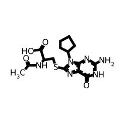 CC(=O)NC(CSc1nc2c(=O)[nH]c(N)nc2n1C1CCCC1)C(=O)O